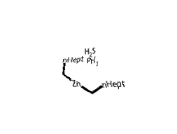 CCCCCCC[CH2][Zn][CH2]CCCCCCC.P.S